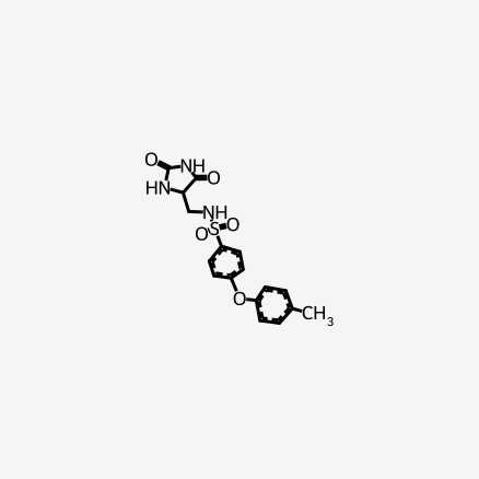 Cc1ccc(Oc2ccc(S(=O)(=O)NCC3NC(=O)NC3=O)cc2)cc1